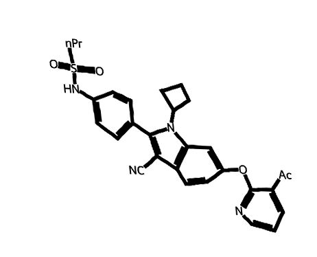 CCCS(=O)(=O)Nc1ccc(-c2c(C#N)c3ccc(Oc4ncccc4C(C)=O)cc3n2C2CCC2)cc1